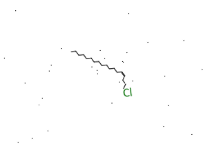 CCCCCCCCCCCCC/C=C\CCCCl